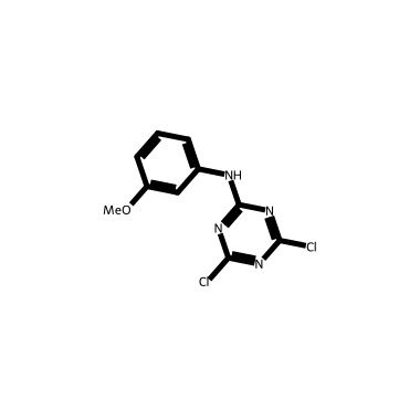 COc1cccc(Nc2nc(Cl)nc(Cl)n2)c1